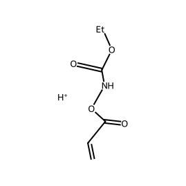 C=CC(=O)ONC(=O)OCC.[H+]